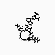 CC(C)c1nc(-c2cccc3c2nc(O[C@@H]2C[C@H]4C(=O)N[C@]5(C(=O)NS(=O)(=O)C6(C)CC6)C[C@H]5/C=C\CCCCC[C@H](NC(=O)OC(C)(C)C)C(=O)N4C2)n3C(C)C)oc1C(C)C